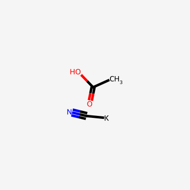 CC(=O)O.N#[C][K]